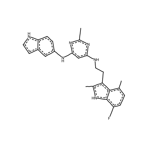 Cc1nc(NCCc2c(C)[nH]c3c(F)ccc(C)c23)cc(Nc2ccc3[nH]ccc3c2)n1